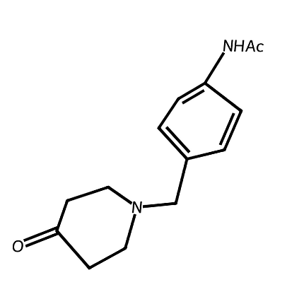 CC(=O)Nc1ccc(CN2CCC(=O)CC2)cc1